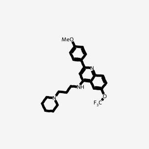 COc1ccc(-c2cc(NCCCN3CCCCC3)c3cc(OC(F)(F)F)ccc3n2)cc1